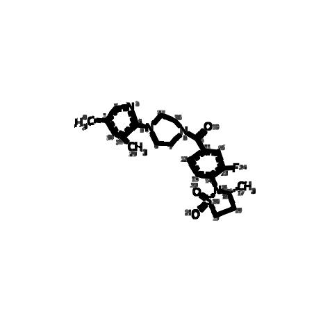 Cc1cnc(N2CCN(C(=O)c3ccc(N4[C@H](C)CCS4(=O)=O)c(F)c3)CC2)c(C)c1